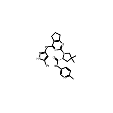 CC(C)c1cc(Nc2nc(N3CC(C)(C)C[C@@H]3C(=O)Nc3ccc(F)nc3)nc3c2CCC3)n[nH]1